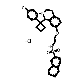 Cl.O=S(=O)(NCCOc1ccc2c(c1)C(C1(c3ccc(Cl)cc3)CCC1)NCC2)c1ccc2ccccc2c1